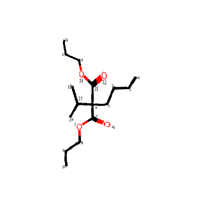 CCCCC(C(=O)OCCC)(C(=O)OCCC)C(C)C